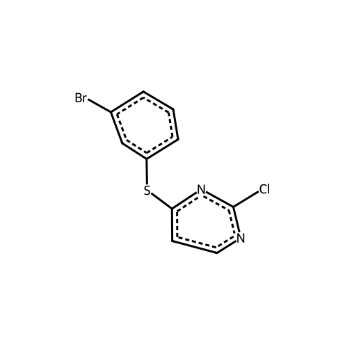 Clc1nccc(Sc2cccc(Br)c2)n1